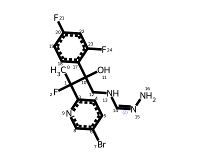 CC(F)(c1ccc(Br)cn1)C(O)(CN/C=N\N)c1ccc(F)cc1F